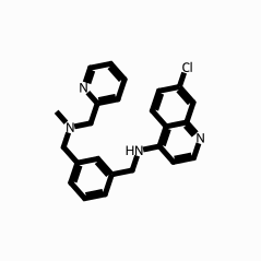 CN(Cc1cccc(CNc2ccnc3cc(Cl)ccc23)c1)Cc1ccccn1